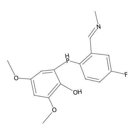 C/N=C/c1cc(F)ccc1Pc1cc(OC)cc(OC)c1O